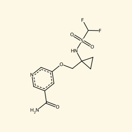 NC(=O)c1cncc(OCC2(NS(=O)(=O)C(F)F)CC2)c1